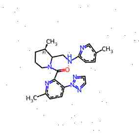 Cc1ccc(NCC2[C@H](C)CCCN2C(=O)c2nc(C)ccc2-n2nccn2)nc1